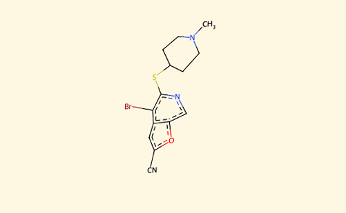 CN1CCC(Sc2ncc3oc(C#N)cc3c2Br)CC1